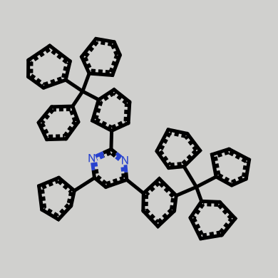 c1ccc(-c2cc(-c3cccc(C(c4ccccc4)(c4ccccc4)c4ccccc4)c3)nc(-c3cccc(C(c4ccccc4)(c4ccccc4)c4ccccc4)c3)n2)cc1